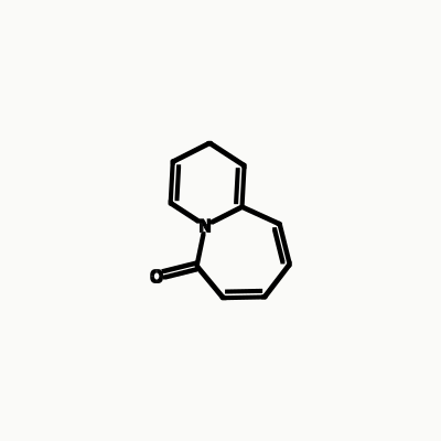 O=C1C=CC=CC2=CCC=CN12